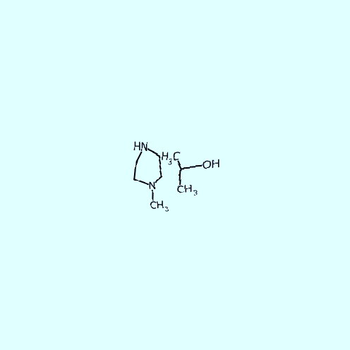 CC(C)O.CN1CCNCC1